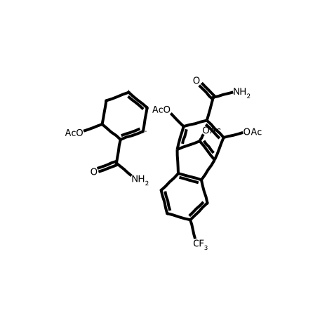 CC(=O)OC1C[C]=C[C]=C1C(N)=O.CC(=O)Oc1c(C(N)=O)c(OC(C)=O)c2c(OC(C)=O)c1-c1ccc(C(F)(F)F)cc1-2